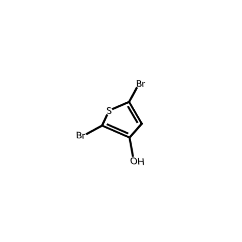 Oc1cc(Br)sc1Br